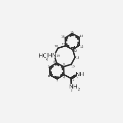 Cl.N=C(N)c1cccc2c1CCc1ccccc1CN2